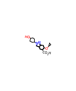 O=C(O)c1cc2cn(C3CCC(O)CC3)nc2cc1OC1CC1